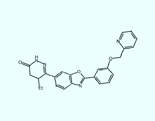 CCC1CC(=O)NN=C1c1ccc2nc(-c3cccc(OCc4ccccn4)c3)oc2c1